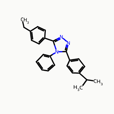 CCc1ccc(-c2nnc(-c3ccc(C(C)C)cc3)n2-c2ccccc2)cc1